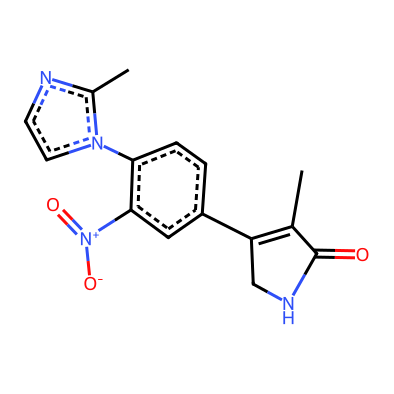 CC1=C(c2ccc(-n3ccnc3C)c([N+](=O)[O-])c2)CNC1=O